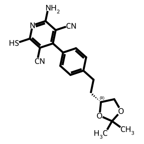 CC1(C)OC[C@@H](CCc2ccc(-c3c(C#N)c(N)nc(S)c3C#N)cc2)O1